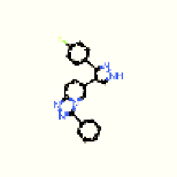 Fc1ccc(-c2n[nH]cc2-c2ccc3nnc(-c4ccccc4)n3c2)cc1